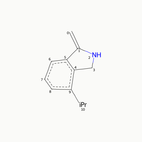 C=C1NCc2c1cccc2C(C)C